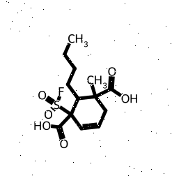 CCCCC1C(C)(C(=O)O)CC=CC1(C(=O)O)S(=O)(=O)F